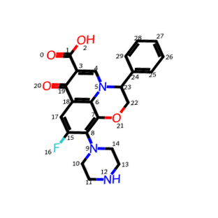 O=C(O)c1cn2c3c(c(N4CCNCC4)c(F)cc3c1=O)OCC2c1ccccc1